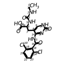 CCNC(=O)NC(Cc1c[nH]c(=O)nc1NC(=O)c1c(Cl)cccc1Cl)C(=O)O